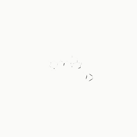 CC(C)CC(NC(=O)OCc1ccccc1)C1CC1CC(=O)NC1CC(C)N(O)C(C)(C)C1